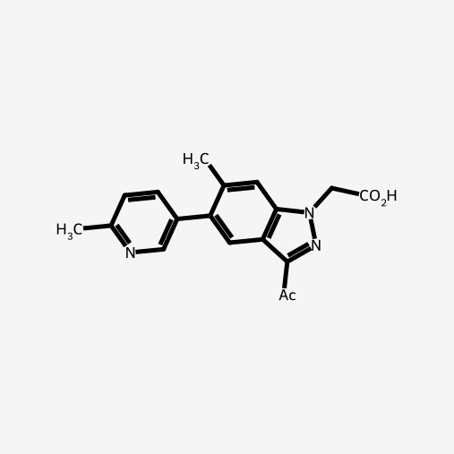 CC(=O)c1nn(CC(=O)O)c2cc(C)c(-c3ccc(C)nc3)cc12